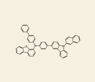 c1ccc(-c2ccc(N(c3ccc(-c4ccc5c(c4)c4ccccc4n5-c4ccc5ccccc5c4)cc3)c3cccc4c3sc3ccccc34)cc2)cc1